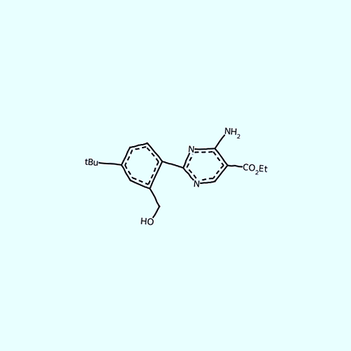 CCOC(=O)c1cnc(-c2ccc(C(C)(C)C)cc2CO)nc1N